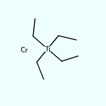 C[CH2][Ti]([CH2]C)([CH2]C)[CH2]C.[Cr]